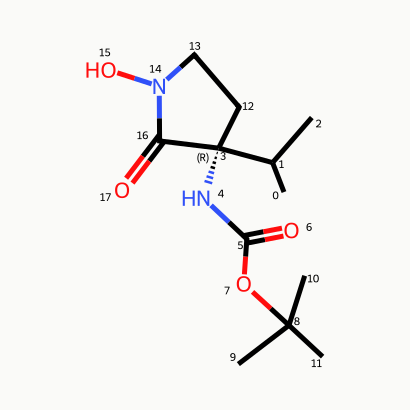 CC(C)[C@]1(NC(=O)OC(C)(C)C)CCN(O)C1=O